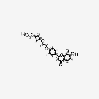 O=c1cc(-c2ccc(OCCO[C@H]3C[C@@H](C(=O)O)C3)cc2)oc2c(Cl)c(O)ccc12